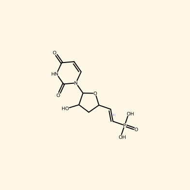 O=c1ccn(C2OC(/C=C/P(=O)(O)O)CC2O)c(=O)[nH]1